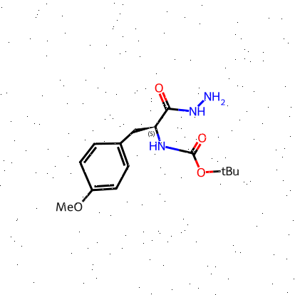 COc1ccc(C[C@H](NC(=O)OC(C)(C)C)C(=O)NN)cc1